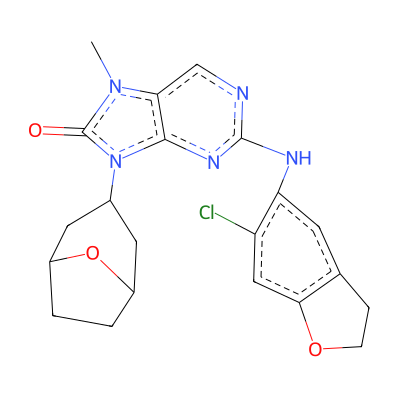 Cn1c(=O)n(C2CC3CCC(C2)O3)c2nc(Nc3cc4c(cc3Cl)OCC4)ncc21